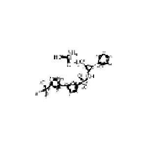 C[C@H]1[C@H](NS(=O)(=O)c2ccc(-c3cc(C(F)(F)F)on3)s2)[C@H]1c1ccccc1.NC(=O)O